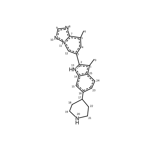 Cc1c(-c2cc(C)c3ncnn3c2)[nH]c2cc(C3CCNCC3)ccc12